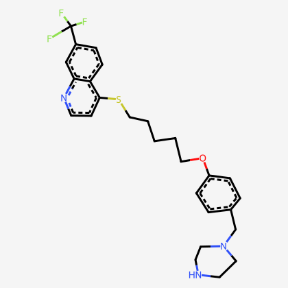 FC(F)(F)c1ccc2c(SCCCCCOc3ccc(CN4CCNCC4)cc3)ccnc2c1